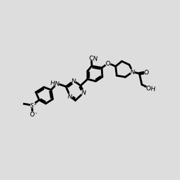 C[S+]([O-])c1ccc(Nc2ncnc(-c3ccc(OC4CCN(C(=O)CO)CC4)c(C#N)c3)n2)cc1